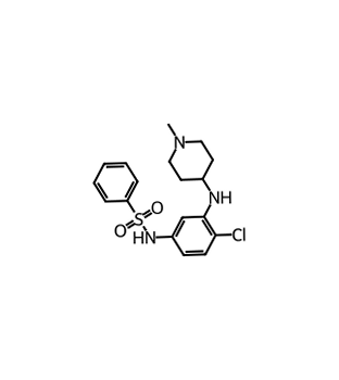 CN1CCC(Nc2cc(NS(=O)(=O)c3ccccc3)ccc2Cl)CC1